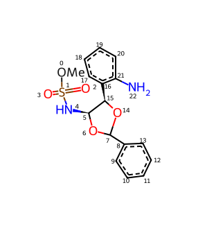 COS(=O)(=O)N[C@@H]1OC(c2ccccc2)O[C@@H]1c1ccccc1N